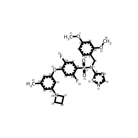 COc1ccc(CN(c2ncns2)S(=O)(=O)c2cc(F)c(Oc3cc(C)cc(N4CCC4)c3)cc2F)c(OC)c1